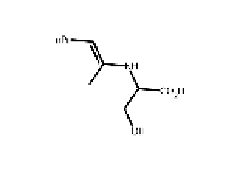 CCC/C=C(\C)NC(CO)C(=O)O